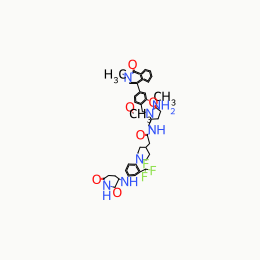 COc1cc(-c2cn(C)c(=O)c3ccccc23)cc(OC)c1CN1C(N)CCC1CNC(=O)CC1CCN(c2ccc(NC3CCC(=O)NC3=O)cc2C(F)(F)F)CC1